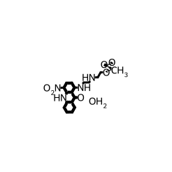 CS(=O)(=O)OCCNCCNc1ccc([N+](=O)[O-])c2[nH]c3ccccc3c(=O)c12.O